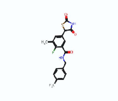 Cc1cc(C2SC(=O)NC2=O)cc(C(=O)NCc2ccc(C(F)(F)F)cc2)c1F